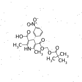 CC1=C(C(=O)O)[C@H](c2cccc([N+](=O)[O-])c2)C(C(=O)OCOC(=O)C(C)(C)C)=C(C)N1